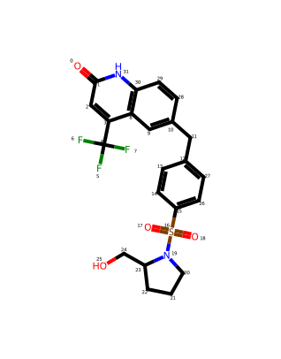 O=c1cc(C(F)(F)F)c2cc(Cc3ccc(S(=O)(=O)N4CCCC4CO)cc3)ccc2[nH]1